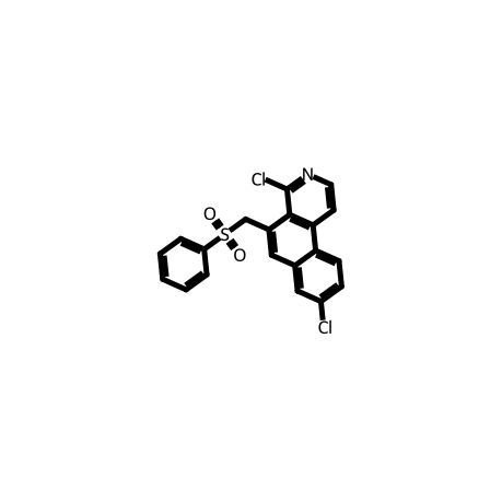 O=S(=O)(Cc1cc2cc(Cl)ccc2c2ccnc(Cl)c12)c1ccccc1